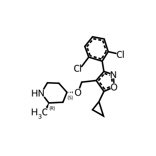 C[C@@H]1C[C@@H](OCc2c(-c3c(Cl)cccc3Cl)noc2C2CC2)CCN1